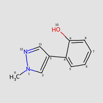 Cn1cc(-c2ccccc2O)cn1